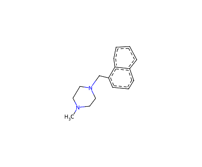 CN1CCN(Cc2cccc3ccccc23)CC1